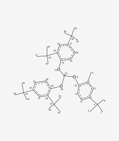 Cc1cc(C(C)(C)C)ccc1OP(Oc1ccc(C(C)(C)C)cc1C(C)(C)C)Oc1ccc(C(C)(C)C)cc1C(C)(C)C